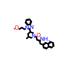 COCCCn1c(C2CC(C)CN(C(=O)C[C@H](N)Cc3ccc4ccccc4c3)C2)nc2ccccc21